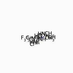 CC(C)(CO)C(=N)/C=C(\O)NC(=O)[C@@H]1CCN1c1ncc(C(F)(F)F)cc1Cl